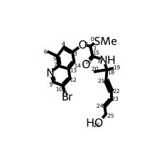 CSC(Oc1cc(C)c2ncc(Br)cc2c1)C(=O)NC(C)(C)C#CC=CCO